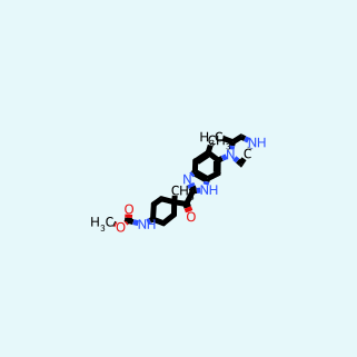 COC(=O)NC1CCC(C)(C(=O)c2nc3cc(C)c(N4CCNCC4C)cc3[nH]2)CC1